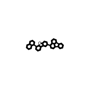 c1ccc2c(c1)-c1cccc3c(-c4ccc5oc6c(-c7cccc8ccccc78)cccc6c5c4)ccc-2c13